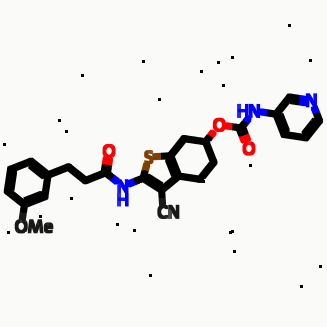 COc1cccc(CCC(=O)Nc2sc3c(c2C#N)CCC(OC(=O)Nc2cccnc2)C3)c1